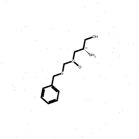 N[C@@H](CO)C[S+]([O-])CSCc1ccccc1